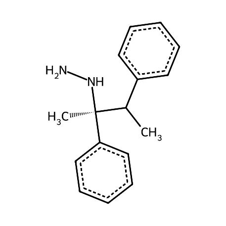 CC(c1ccccc1)[C@](C)(NN)c1ccccc1